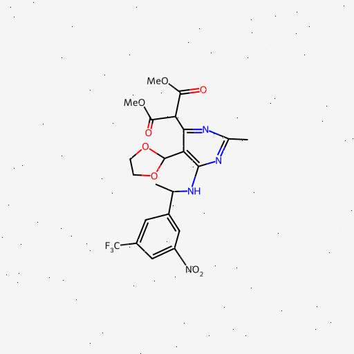 COC(=O)C(C(=O)OC)c1nc(C)nc(NC(C)c2cc([N+](=O)[O-])cc(C(F)(F)F)c2)c1C1OCCO1